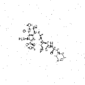 Cn1c(=O)c2c(nc(S(C)(=O)=O)n2C)n(CC#Cc2cc(F)cc(NC(=O)CN3CCOCC3)c2)c1=O